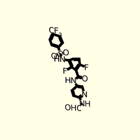 O=CNc1ccc(NC(=O)c2c(F)ccc(NS(=O)(=O)c3ccc(C(F)(F)F)cc3)c2F)cn1